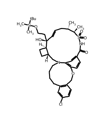 C[C@@H]1[C@@H](C)C/C=C/[C@@](O)(CCO[Si](C)(C)C(C)(C)C)[C@@H]2CC[C@H]2CN2CCCCc3cc(Cl)ccc3COc3ccc(cc32)C(=O)NS1(=O)=O